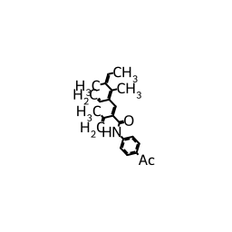 C=CC(/C=C(\C(=C)C)C(=O)Nc1ccc(C(C)=O)cc1)=C(C)\C(C)=C/C